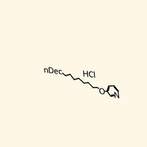 CCCCCCCCCCCCCCCCCCOc1cccnc1.Cl